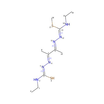 CCN/C(S)=N/N=C(C)/C(C)=N/N=C(/NCC)SC